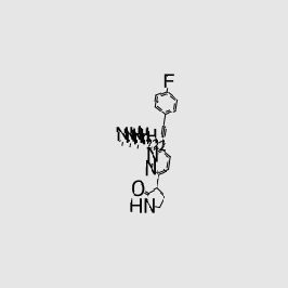 CN.CN.CN.O=C1NCCC1c1ccc(C#Cc2ccc(F)cc2)nn1